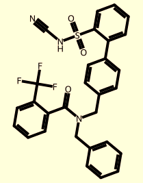 N#CNS(=O)(=O)c1ccccc1-c1ccc(CN(Cc2ccccc2)C(=O)c2ccccc2C(F)(F)F)cc1